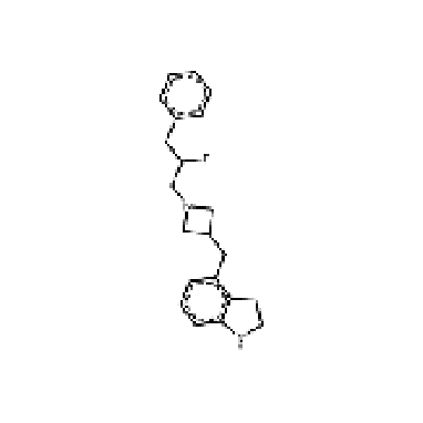 FC(Cc1ccccc1)CN1CC(Cc2cccc3c2CCN3)C1